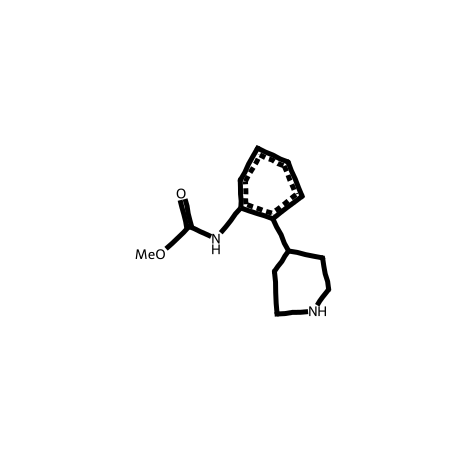 COC(=O)Nc1ccccc1C1CCNCC1